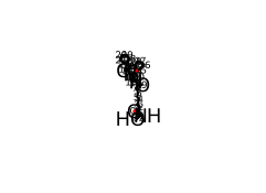 O=C(CCCCCCC(=O)N1CCN(C(=O)C(c2ccccc2)c2ccccc2)CC1)NO